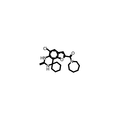 C=C1Nc2c(Cl)cc3cc(C(=O)N4CCCCCC4)oc3c2C2(CCCCC2)N1